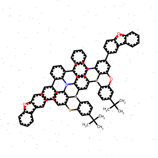 CC(C)(C)c1ccc2c(c1)Oc1cc(-c3ccc4oc5ccccc5c4c3)cc3c1B2c1cc2c(cc1N3c1ccccc1)N(c1c(-c3ccccc3)cccc1-c1ccccc1)c1cc(-c3ccc4oc5ccccc5c4c3)cc3c1B2c1ccc(C(C)(C)C)cc1S3